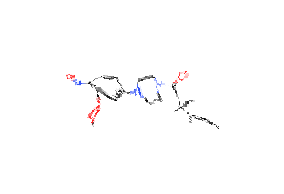 C/C=C(\C)C(C)(C)C(=O)N1CCN(c2ccc(N=O)c(OC)c2)CC1